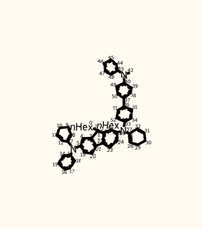 CCCCCCC1(CCCCCC)c2cc(N(C3=CCCC=C3)c3ccccc3)ccc2-c2ccc(N(C3=CCCC=C3)c3ccc(-c4ccc(N(C)c5ccccc5)cc4)cc3)cc21